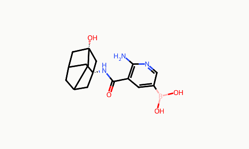 Nc1ncc(B(O)O)cc1C(=O)N[C@]12CC3CC(C[C@@](O)(C3)C1)C2